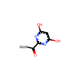 CNC(=O)c1nc(O)cc(O)n1